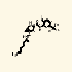 C=CCCCC(=O)NC[C@]12CC1N[C@H](C(=O)Nc1nc(C(F)(F)F)ccc1C)C2